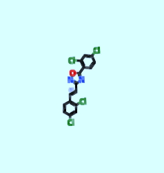 Clc1ccc(/C=C/c2noc(-c3ccc(Cl)cc3Cl)n2)c(Cl)c1